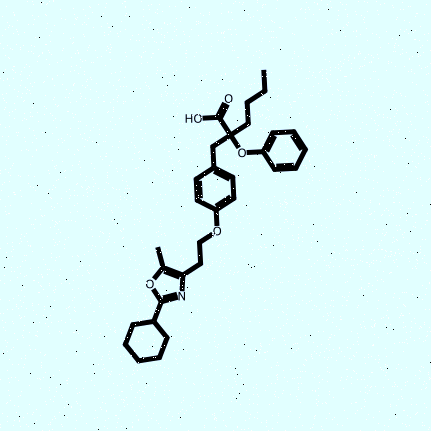 CCCCC(Cc1ccc(OCCc2nc(C3CCCCC3)oc2C)cc1)(Oc1ccccc1)C(=O)O